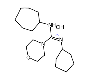 C1CCC(/N=C(/NC2CCCCCC2)N2CCOCC2)CC1.Cl